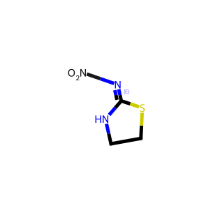 O=[N+]([O-])/N=C1\NCCS1